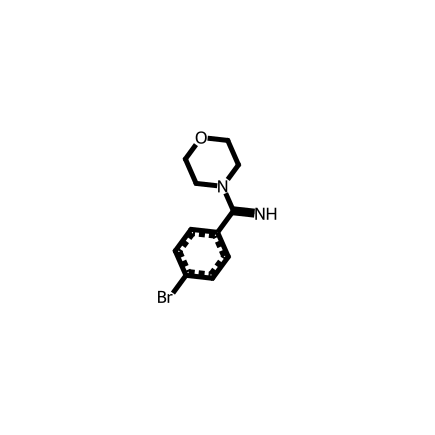 N=C(c1ccc(Br)cc1)N1CCOCC1